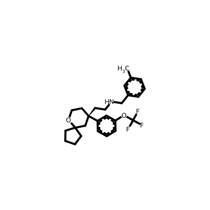 Cc1cccc(CNCC[C@]2(c3cccc(OC(F)(F)F)c3)CCOC3(CCCC3)C2)c1